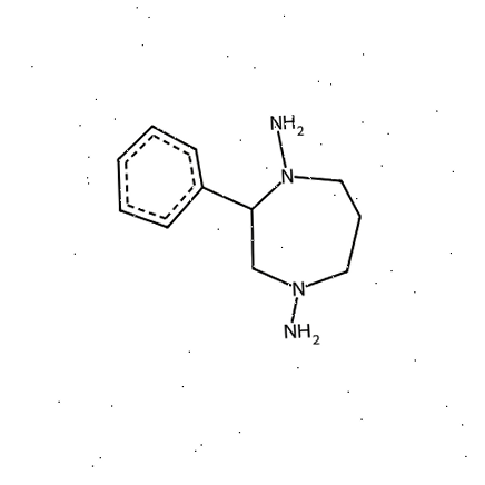 NN1CCCN(N)C(c2ccccc2)C1